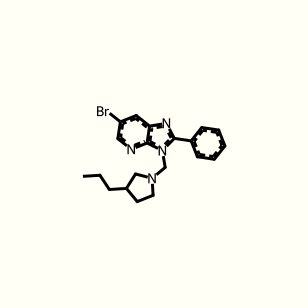 CCCC1CCN(Cn2c(-c3ccccc3)nc3cc(Br)cnc32)C1